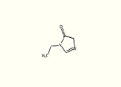 CCN1C=NCC1=O